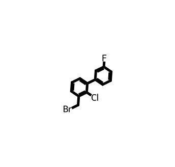 Fc1cccc(-c2cccc(CBr)c2Cl)c1